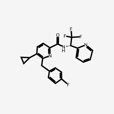 O=C(N[C@@H](c1ccccn1)C(F)(F)F)c1ccc(C2CC2)c(Cc2ccc(F)cc2)n1